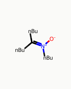 CCCCC(CCCC)=[N+]([O-])CCCC